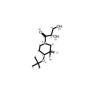 CC(C)(C)O[C@H]1CCN(C(=O)[C@@H](O)CO)CC1(F)F